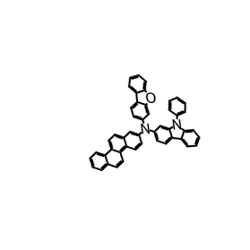 c1ccc(-n2c3ccccc3c3ccc(N(c4ccc5c(ccc6c7ccccc7ccc56)c4)c4ccc5c(c4)oc4ccccc45)cc32)cc1